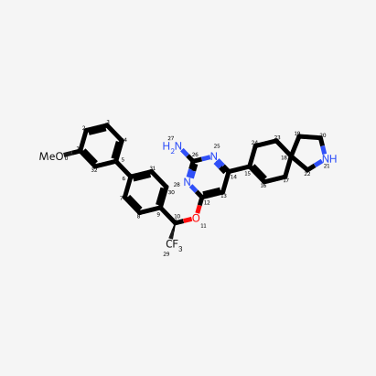 COc1cccc(-c2ccc([C@@H](Oc3cc(C4=CCC5(CCNC5)CC4)nc(N)n3)C(F)(F)F)cc2)c1